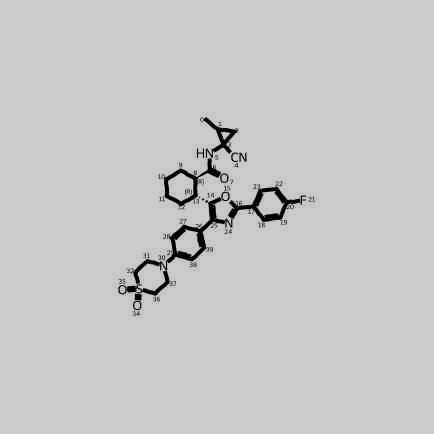 CC1CC1(C#N)NC(=O)[C@@H]1CCCC[C@H]1c1oc(-c2ccc(F)cc2)nc1-c1ccc(N2CCS(=O)(=O)CC2)cc1